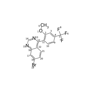 COc1cc(C(F)(F)F)ccc1-c1ncnc2cc(Br)ccc12